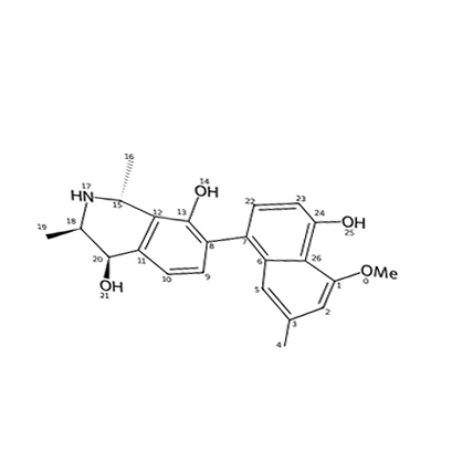 COc1cc(C)cc2c(-c3ccc4c(c3O)[C@@H](C)N[C@H](C)[C@@H]4O)ccc(O)c12